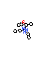 c1ccc(-c2ccc(-c3nc(-c4ccc5ccccc5c4)nc(-c4cc(-c5ccccc5)cc5oc6cc7ccccc7cc6c45)n3)cc2)cc1